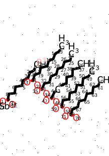 CCCCCCCCCC(=O)[O-].CCCCCCCCCC(=O)[O-].CCCCCCCCCC(=O)[O-].CCCCCCCCCC(=O)[O-].CCCCCCCCCC(=O)[O-].CCCCCCCCCC(=O)[O-].[B+3].[Sb+3]